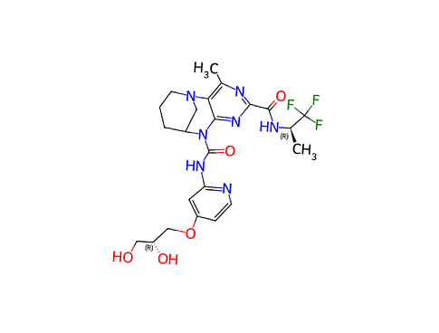 Cc1nc(C(=O)N[C@H](C)C(F)(F)F)nc2c1N1CCCC(C1)N2C(=O)Nc1cc(OC[C@H](O)CO)ccn1